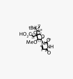 COC1[C@H](n2ccc(=O)[nH]c2=O)OCC1(CC(=O)O)O[Si](C)(C)C(C)(C)C